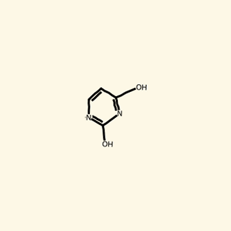 OC1=NC(O)=[N+]C=C1